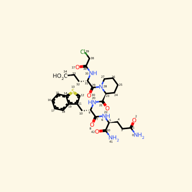 NC(=O)CC[C@H](NC(=O)[C@H](Cc1csc2ccccc12)NC(=O)[C@@H]1CCCCN1C(=O)[C@H](CCC(=O)O)NC(=O)CCl)C(N)=O